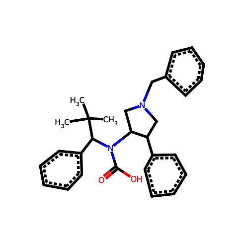 CC(C)(C)C(c1ccccc1)N(C(=O)O)C1CN(Cc2ccccc2)CC1c1ccccc1